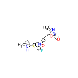 Cc1cnc(N2CC3(CCOCC3)C2)c(C(=O)CCCc2ccc(C(=O)N3CCc4cc(-c5c[nH]c6c(C)cccc56)sc4-c4ccc(F)cc43)cc2)c1